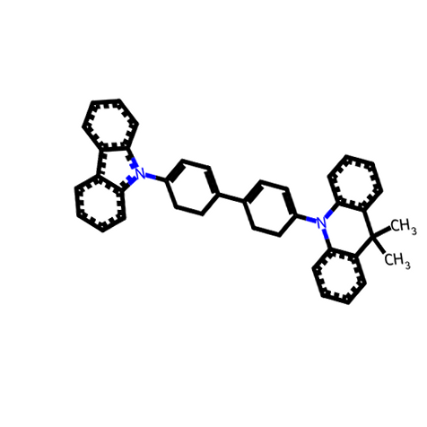 CC1(C)c2ccccc2N(C2=CC=C(C3=CC=C(n4c5ccccc5c5ccccc54)CC3)CC2)c2ccccc21